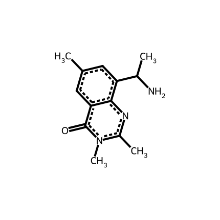 Cc1cc(C(C)N)c2nc(C)n(C)c(=O)c2c1